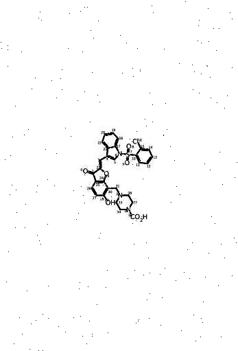 O=C1/C(=C/c2cn(S(=O)(=O)c3ccccc3Cl)c3ccccc23)Oc2c1ccc(O)c2CN1CCN(C(=O)O)CC1